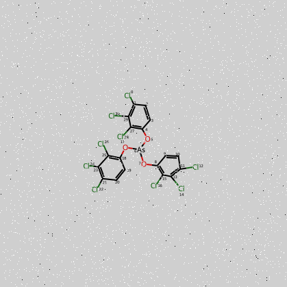 Clc1ccc(O[As](Oc2ccc(Cl)c(Cl)c2Cl)Oc2ccc(Cl)c(Cl)c2Cl)c(Cl)c1Cl